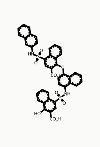 O=C(O)c1cc(S(=O)(=O)Nc2ccc(Oc3c(C(=O)O)cc(S(=O)(=O)Nc4ccc5ccccc5c4)c4ccccc34)c3ccccc23)c2ccccc2c1O